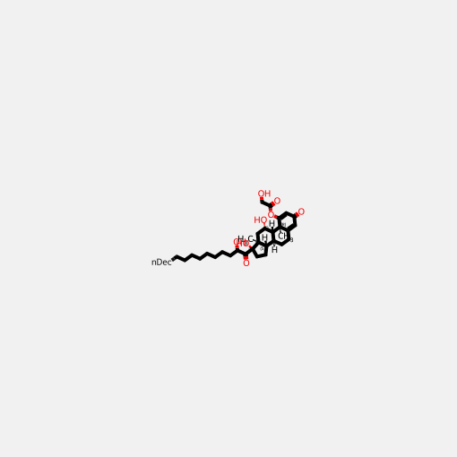 CCCCCCCCCCCCCCCCCCC(O)C(=O)[C@@]1(O)CC[C@H]2[C@@H]3CCC4=CC(=O)C=C(OC(=O)CO)[C@]4(C)[C@H]3[C@@H](O)C[C@@]21C